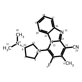 Cc1c(F)c(N2CC[C@H](N(C)C)C2)n2c(nc3ccccc32)c1C#N